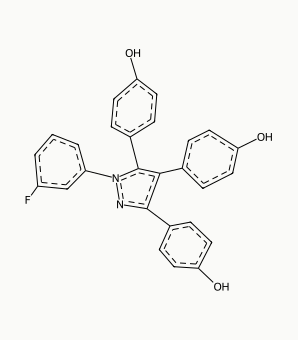 Oc1ccc(-c2nn(-c3cccc(F)c3)c(-c3ccc(O)cc3)c2-c2ccc(O)cc2)cc1